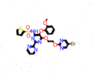 COc1ccccc1Oc1c(NS(=O)(=O)c2cccs2)nc(-c2ncccn2)nc1OCCOc1ncc(Br)cn1